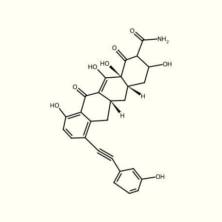 NC(=O)C1C(=O)[C@@]2(O)C(O)=C3C(=O)c4c(O)ccc(C#Cc5cccc(O)c5)c4C[C@H]3C[C@H]2CC1O